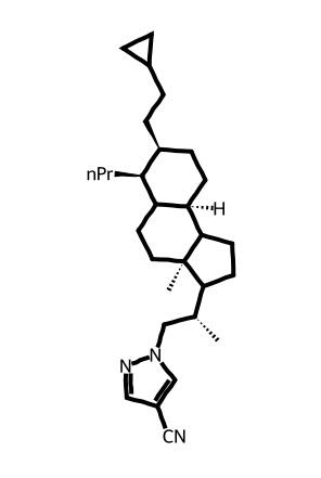 CCC[C@@H]1C2CC[C@@]3(C)C(CCC3[C@H](C)Cn3cc(C#N)cn3)[C@@H]2CC[C@@H]1CCC1CC1